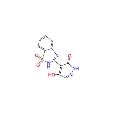 O=c1[nH]ncc(O)c1C1=Nc2ccccc2S(=O)(=O)N1